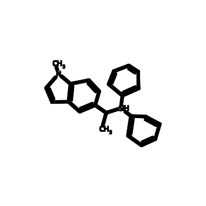 CC(c1ccc2c(ccn2C)c1)[SiH](c1ccccc1)c1ccccc1